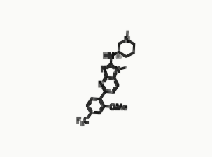 COc1cc(C(F)(F)F)ccc1-c1ccc2c(n1)nc(N[C@@H]1CCCN(C)C1)n2C